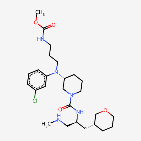 CNC[C@H](C[C@H]1CCCOC1)NC(=O)N1CCC[C@@H](N(CCCNC(=O)OC)c2cccc(Cl)c2)C1